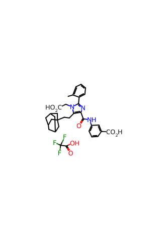 Cc1ccccc1-c1nc(C(=O)Nc2cccc(C(=O)O)c2)c(CCC23CC4CC(CC(C4)C2)C3)n1CC(=O)O.O=C(O)C(F)(F)F